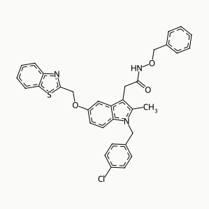 Cc1c(CC(=O)NOCc2ccccc2)c2cc(OCc3nc4ccccc4s3)ccc2n1Cc1ccc(Cl)cc1